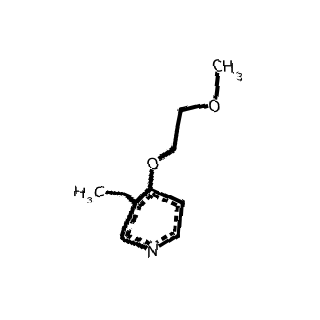 COCCOc1ccncc1C